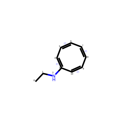 CCNC1=C/C=C\C=C/C=C\1